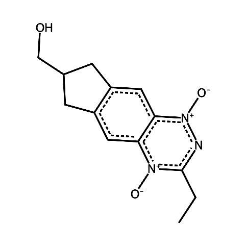 CCc1n[n+]([O-])c2cc3c(cc2[n+]1[O-])CC(CO)C3